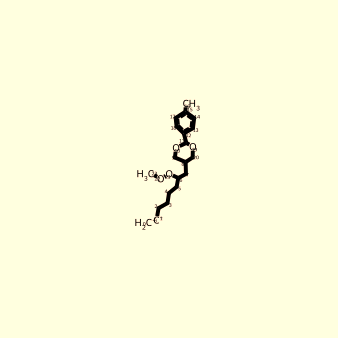 [CH2+][CH-]CCCCC(CC1COC(c2ccc(C)cc2)OC1)OOC